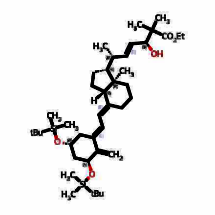 C=C1/C(=C/C=C2\CCC[C@]3(C)[C@@H]([C@H](C)/C=C/[C@H](O)C(C)(C)C(=O)OCC)CC[C@@H]23)C[C@@H](O[Si](C)(C)C(C)(C)C)C[C@@H]1O[Si](C)(C)C(C)(C)C